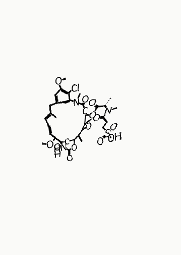 COc1cc2cc(c1Cl)N(C)C(=O)CC(OC(=O)[C@H](C)N(C)C(=O)CCS(=O)(=O)O)C1(C)OC1C(C)C1CC(O)(NC(=O)O1)C(OC)/C=C/C=C(\C)C2